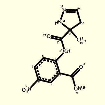 COC(=O)c1cc([N+](=O)[O-])ccc1NC(=O)C1(C)CC=NN1